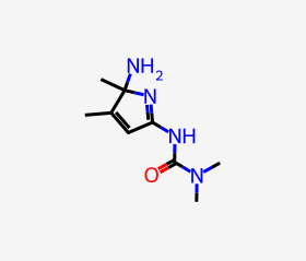 CC1=CC(NC(=O)N(C)C)=NC1(C)N